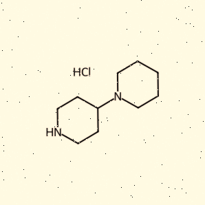 C1CCN(C2CCNCC2)CC1.Cl